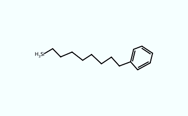 [SiH3]CCCCCCCCc1ccccc1